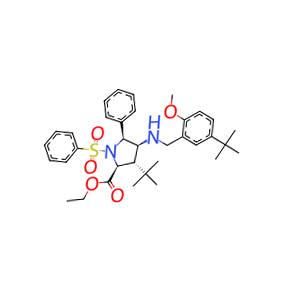 CCOC(=O)[C@@H]1[C@@H](C(C)(C)C)[C@H](NCc2cc(C(C)(C)C)ccc2OC)[C@H](c2ccccc2)N1S(=O)(=O)c1ccccc1